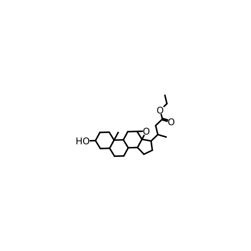 CCOC(=O)CC(C)C1CCC2C3CCC4CC(O)CCC4(C)C3CC3OC312